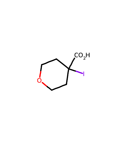 O=C(O)C1(I)CCOCC1